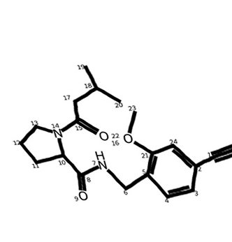 C#Cc1ccc(CNC(=O)C2CCCN2C(=O)CC(C)C)c(OC)c1